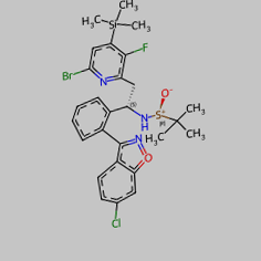 CC(C)(C)[S@+]([O-])N[C@@H](Cc1nc(Br)cc([Si](C)(C)C)c1F)c1ccccc1-c1noc2cc(Cl)ccc12